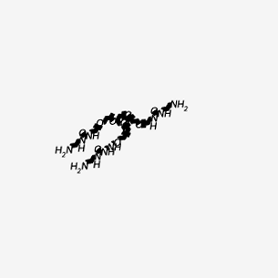 CC(CCOC(C)(C)CCNC(=O)NCCCN)OC(COC(C)(C)CC(C)(C)CCOCNCNC(=O)NCCCN)CC(C)(C)OC(C)(C)CCOC(C)(C)CCNC(=O)NCCCN